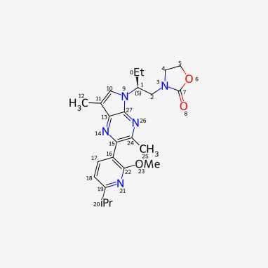 CC[C@@H](CN1CCOC1=O)n1cc(C)c2nc(-c3ccc(C(C)C)nc3OC)c(C)nc21